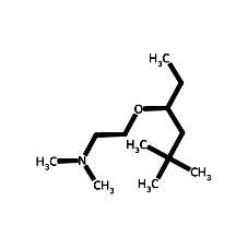 CCC(CC(C)(C)C)OCCN(C)C